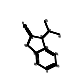 CC(C)C1C(=O)Cc2ccccc21